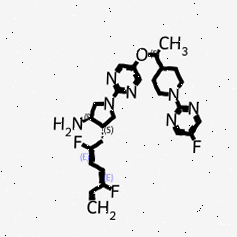 C=C/C(F)=C\C=C(\F)C[C@H]1CN(c2ncc(O[C@@H](C)C3CCN(c4ncc(F)cn4)CC3)cn2)C[C@@H]1N